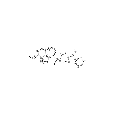 COc1ncc(OC)c2c(C(=O)C(=O)N3CCC(=C(S)c4ccccc4)CC3)c[nH]c12